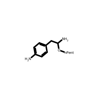 CCCCCOC(N)Cc1ccc(N)cc1